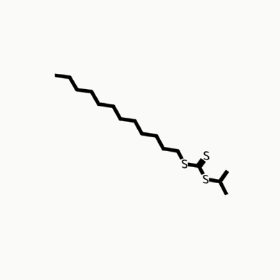 CCCCCCCCCCCCSC(=S)SC(C)C